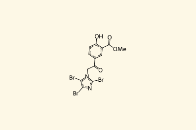 COC(=O)c1cc(C(=O)Cn2c(Br)nc(Br)c2Br)ccc1O